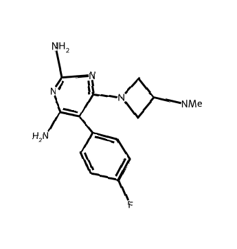 CNC1CN(c2nc(N)nc(N)c2-c2ccc(F)cc2)C1